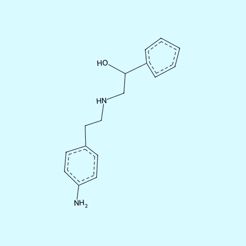 Nc1ccc(CCNCC(O)c2ccccc2)cc1